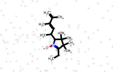 C=C(C)/C(C)=C/C(C)C1[N+]([O-])=C(CC)C(C)(C)C1(C)C